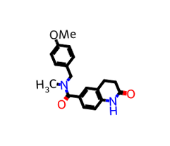 COc1ccc(CN(C)C(=O)c2ccc3c(c2)CCC(=O)N3)cc1